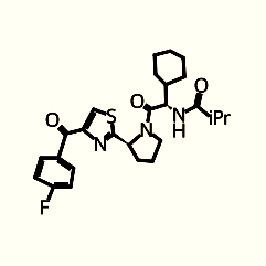 CC(C)C(=O)N[C@H](C(=O)N1CCC[C@H]1c1nc(C(=O)c2ccc(F)cc2)cs1)C1CCCCC1